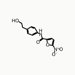 O=C(Nc1ccc(CCO)cc1)c1ccc([N+](=O)[O-])o1